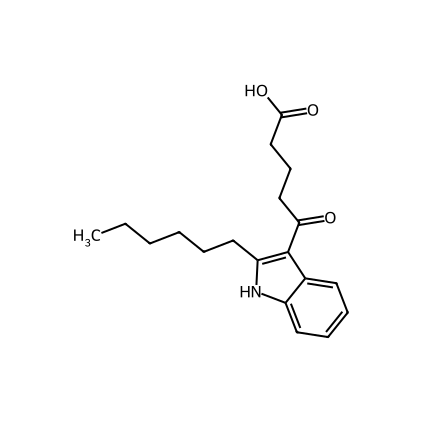 CCCCCCc1[nH]c2ccccc2c1C(=O)CCCC(=O)O